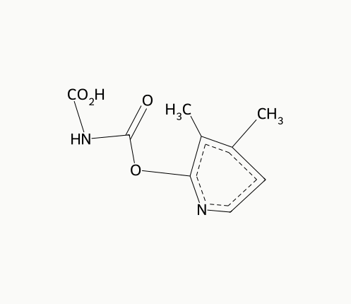 Cc1ccnc(OC(=O)NC(=O)O)c1C